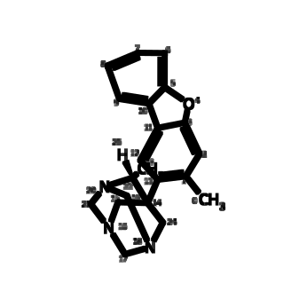 Cc1cc2oc3ccccc3c2cc1C12CN3CN(CN(C3)[C@@H]1C)C2